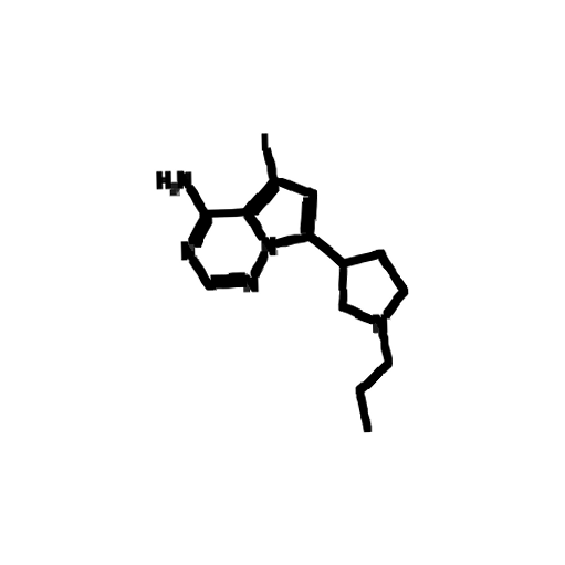 CCCN1CCC(c2cc(I)c3c(N)ncnn23)C1